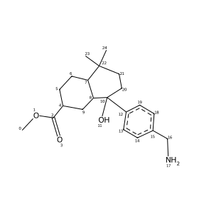 COC(=O)C1CCC2C(C1)C(O)(c1ccc(CN)cc1)CCC2(C)C